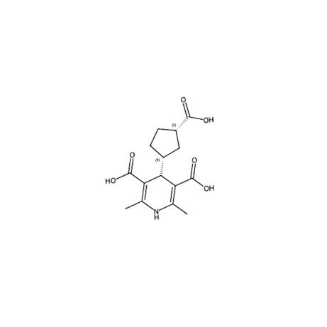 CC1=C(C(=O)O)C([C@@H]2CC[C@H](C(=O)O)C2)C(C(=O)O)=C(C)N1